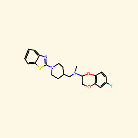 CN(CC1CCN(c2nc3ccccc3s2)CC1)C1COc2cc(F)ccc2O1